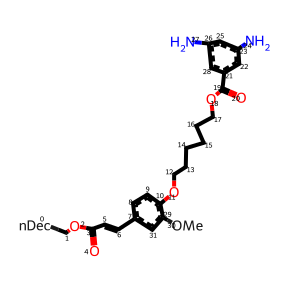 CCCCCCCCCCCOC(=O)/C=C/c1ccc(OCCCCCCOC(=O)c2cc(N)cc(N)c2)c(OC)c1